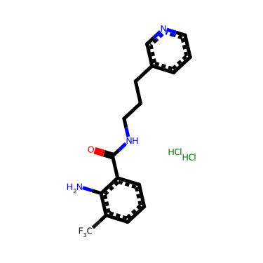 Cl.Cl.Nc1c(C(=O)NCCCc2cccnc2)cccc1C(F)(F)F